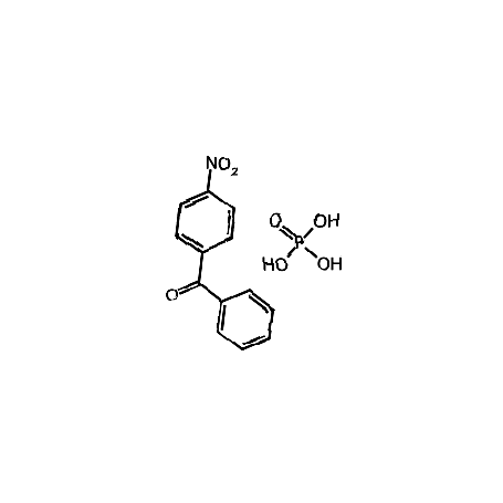 O=C(c1ccccc1)c1ccc([N+](=O)[O-])cc1.O=P(O)(O)O